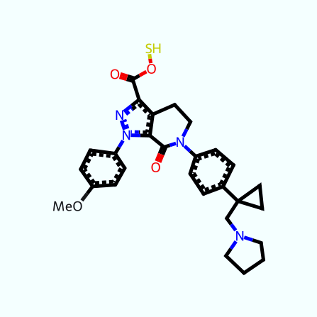 COc1ccc(-n2nc(C(=O)OS)c3c2C(=O)N(c2ccc(C4(CN5CCCC5)CC4)cc2)CC3)cc1